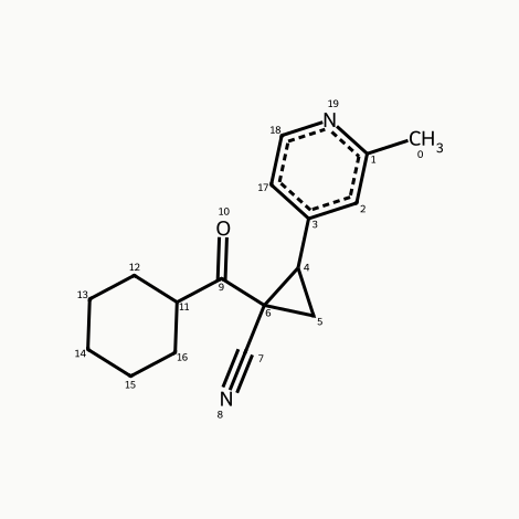 Cc1cc(C2CC2(C#N)C(=O)C2CCCCC2)ccn1